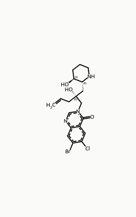 C=CC[C@@](O)(C[C@H]1NCCC[C@@H]1O)Cn1cnc2cc(Br)c(Cl)cc2c1=O